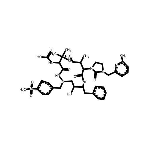 CCC(C)C(C(=O)NC(Cc1ccccc1)C(O)CN(Cc1ccc(S(C)(=O)=O)cc1)NC(=O)C(NC(=O)O)C(C)(C)C)N1CCN(Cc2cccc(C)n2)C1=O